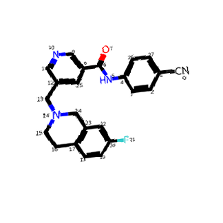 N#Cc1ccc(NC(=O)c2cncc(CN3CCc4ccc(F)cc4C3)c2)cc1